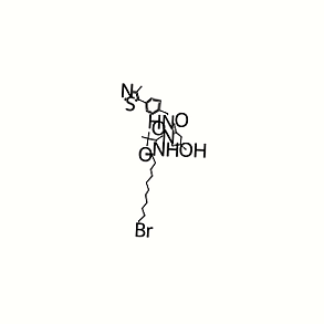 Cc1ncsc1-c1ccc(CNC(=O)C2C[C@@H](O)CN2C(=O)[C@@H](NC(=O)CCCCCCCCCCBr)C(C)(C)C)cc1